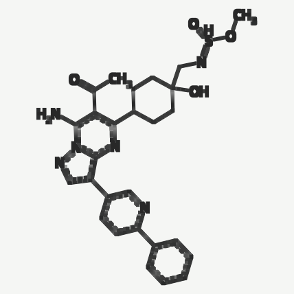 CO[SH](=O)=NCC1(O)CCC(c2nc3c(-c4ccc(-c5ccccc5)nc4)cnn3c(N)c2C(C)=O)CC1